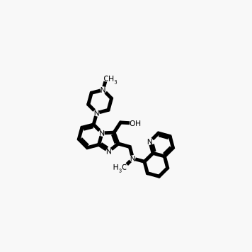 CN1CCN(c2cccc3nc(CN(C)C4CCCc5cccnc54)c(CO)n23)CC1